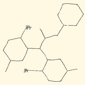 CC1CCC(C(C)C)C(C(C(C)CC2CCCCC2)C2CC(C)CCC2C(C)C)C1